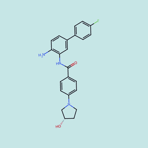 Nc1ccc(-c2ccc(F)cc2)cc1NC(=O)c1ccc(N2CC[C@H](O)C2)cc1